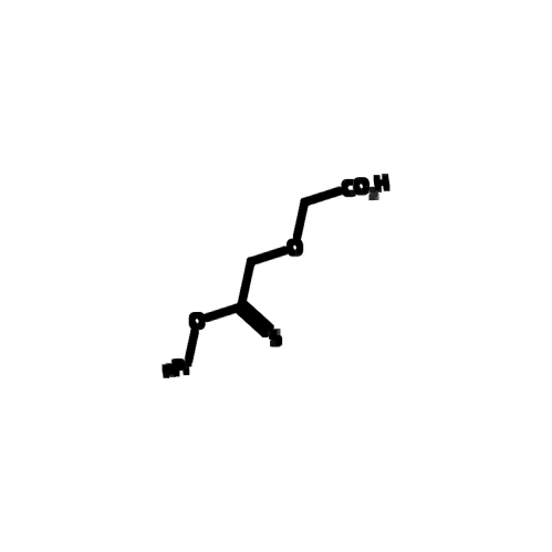 CCCOC(=S)COCC(=O)O